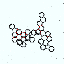 c1cc(-c2ccc3c(ccc4ccccc43)c2)cc(N(c2ccccc2-c2ccccc2-n2c3ccccc3c3ccccc32)c2ccccc2-c2cccc3c2oc2cc(-c4ccc5c6ccccc6n(-c6ccccc6-c6ccccc6N(c6ccccc6-c6cc7ccccc7c7ccccc67)c6ccccc6-c6cccc7c6oc6ccccc67)c5c4)ccc23)c1